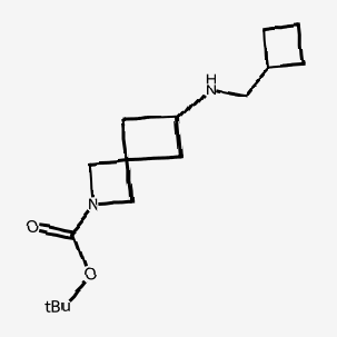 CC(C)(C)OC(=O)N1CC2(CC(NCC3CCC3)C2)C1